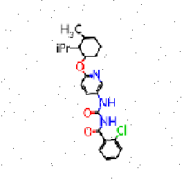 CC(C)C1C(C)CCCC1Oc1ccc(NC(=O)NC(=O)c2ccccc2Cl)cn1